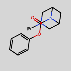 CC(C)N1CC2CC(C1)N2C(=O)Oc1ccccc1